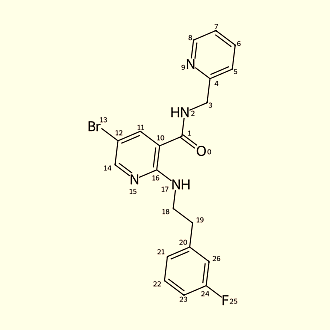 O=C(NCc1ccccn1)c1cc(Br)cnc1NCCc1cccc(F)c1